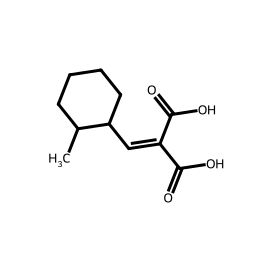 CC1CCCCC1C=C(C(=O)O)C(=O)O